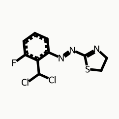 Fc1cccc(/N=N/C2=NCCS2)c1C(Cl)Cl